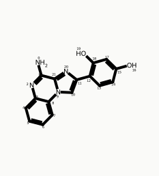 Nc1nc2ccccc2n2cc(-c3ccc(O)cc3O)nc12